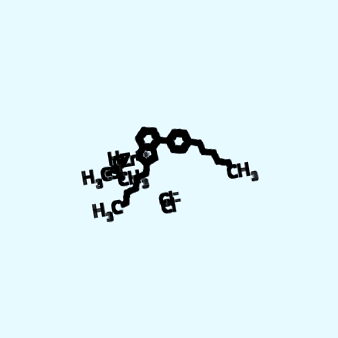 CCCCCCC1=Cc2c(-c3ccc(CCCCCC)cc3)cccc2[CH]1[Zr+2][O][SiH](C)C.[Cl-].[Cl-]